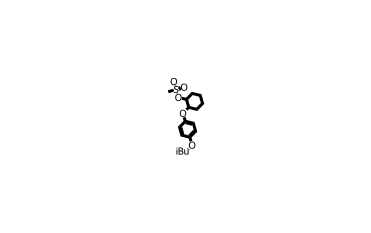 CCC(C)Oc1ccc(OC2CCCCC2OS(C)(=O)=O)cc1